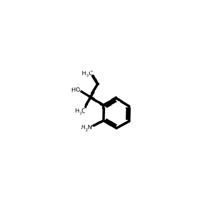 CCC(C)(O)c1ccccc1N